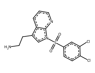 NCCc1cn(S(=O)(=O)c2ccc(Cl)c(Cl)c2)c2ncccc12